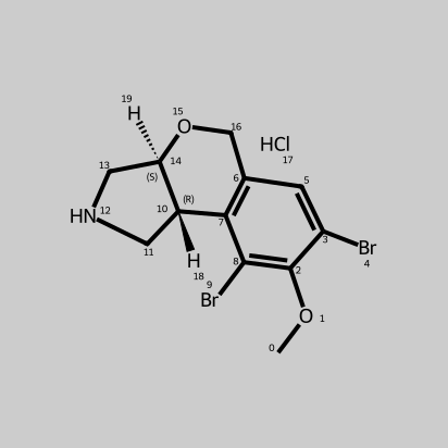 COc1c(Br)cc2c(c1Br)[C@@H]1CNC[C@H]1OC2.Cl